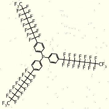 FC(F)(F)C(F)(F)C(F)(F)C(F)(F)C(F)(F)C(F)(F)C(F)(F)C(F)(F)c1ccc(P(c2ccc(C(F)(F)C(F)(F)C(F)(F)C(F)(F)C(F)(F)C(F)(F)C(F)(F)C(F)(F)F)cc2)c2ccc(C(F)(F)C(F)(F)C(F)(F)C(F)(F)C(F)(F)C(F)(F)C(F)(F)C(F)(F)F)cc2)cc1